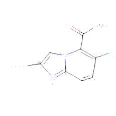 COC(=O)c1c(Br)ccc2nc(C(=O)O)cn12